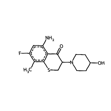 Cc1c(F)cc(N)c2c1SCC(N1CCC(O)CC1)C2=O